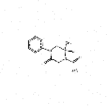 CC(=O)N1CC(=O)N(c2ccccc2)CC1(C)C